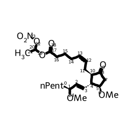 CCCCC[C@@H](/C=C/[C@H]1[C@H](OC)CC(=O)[C@@H]1C/C=C\CCCC(=O)OC(C)O[N+](=O)[O-])OC